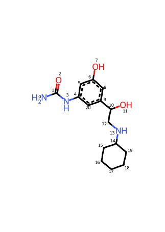 NC(=O)Nc1cc(O)cc(C(O)CNC2CCCCC2)c1